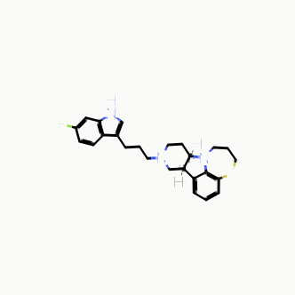 Fc1ccc2c(CCCN3CC[C@H]4[C@@H](C3)c3cccc5c3N4CCCS5)c[nH]c2c1